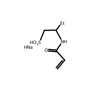 C=CC(=O)NC(CC)CS(=O)(=O)O.[NaH]